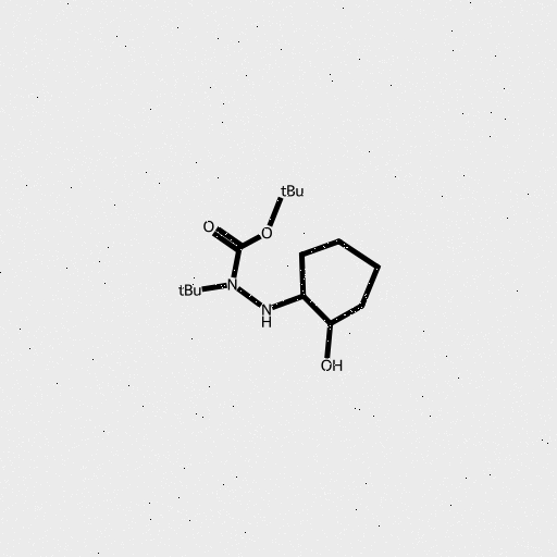 CC(C)(C)OC(=O)N(NC1CCCCC1O)C(C)(C)C